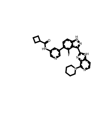 O=C(Nc1cncc(-c2ccc3[nH]nc(-c4nc5c(N6CCCCC6)nccc5[nH]4)c3c2F)c1)C1CCC1